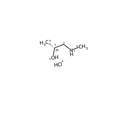 CNC[C@@H](C)O.Cl